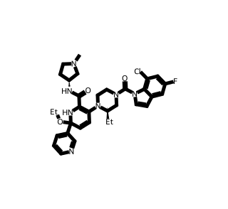 CCOC1(c2cccnc2)C=CC(N2CCN(C(=O)n3ccc4cc(F)cc(Cl)c43)C[C@H]2CC)=C(C(=O)N[C@@H]2CCN(C)C2)N1